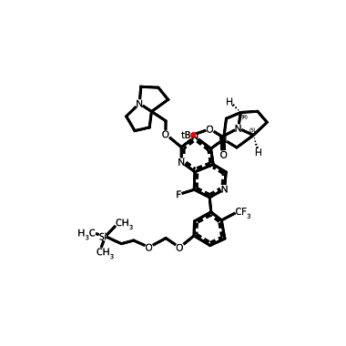 CC(C)(C)OC(=O)N1[C@@H]2CC[C@H]1CN(c1nc(OCC34CCCN3CCC4)nc3c(F)c(-c4cc(OCOCC[Si](C)(C)C)ccc4C(F)(F)F)ncc13)C2